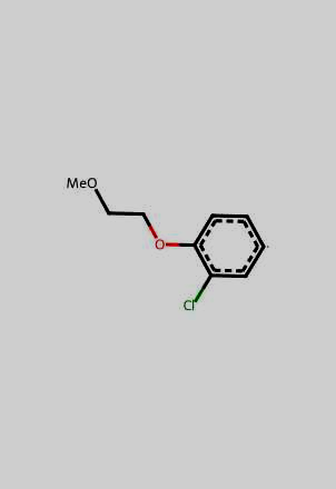 COCCOc1cc[c]cc1Cl